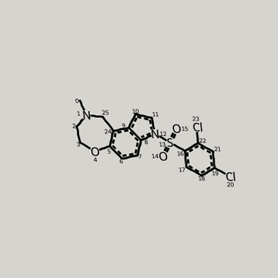 CN1CCOc2ccc3c(ccn3S(=O)(=O)c3ccc(Cl)cc3Cl)c2C1